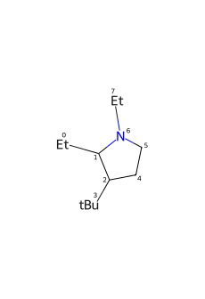 CCC1C(C(C)(C)C)CCN1CC